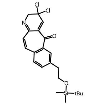 CC(C)(C)[Si](C)(C)OCCc1ccc2ccc3c(c(=O)c2c1)=CC(Cl)(Cl)CN=3